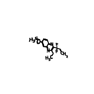 C=CC(F)(F)c1nc2ccc(OC)cc2nc1CC